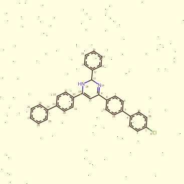 Clc1ccc(-c2ccc(C3=NC(c4ccccc4)NC(c4ccc(-c5ccccc5)cc4)=C3)cc2)cc1